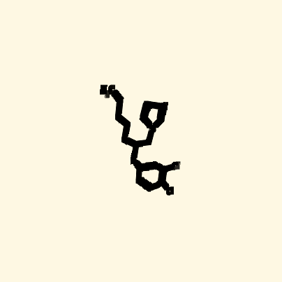 CCCCCC(Cn1ccnc1)Sc1ccc(Cl)c(Cl)c1